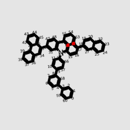 c1ccc(-c2cccc(-c3ccc(N(c4ccc(-c5ccc6ccccc6c5)cc4)c4cc(-c5cc6ccccc6c6ccccc56)ccc4-c4ccccc4)cc3)c2)cc1